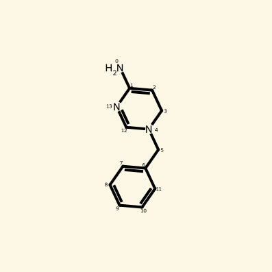 NC1=CCN(Cc2ccccc2)C=N1